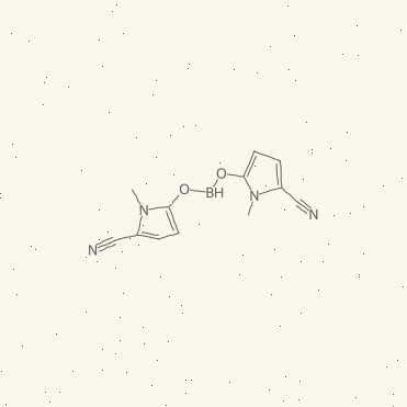 Cn1c(C#N)ccc1OBOc1ccc(C#N)n1C